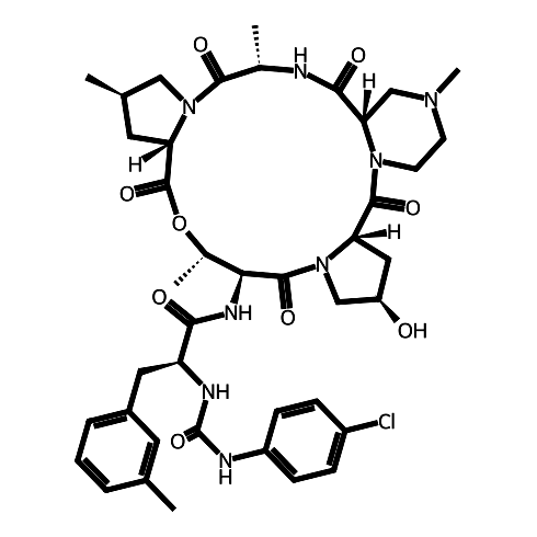 Cc1cccc(C[C@H](NC(=O)Nc2ccc(Cl)cc2)C(=O)N[C@@H]2C(=O)N3C[C@H](O)C[C@H]3C(=O)N3CCN(C)C[C@H]3C(=O)N[C@@H](C)C(=O)N3C[C@H](C)C[C@H]3C(=O)O[C@H]2C)c1